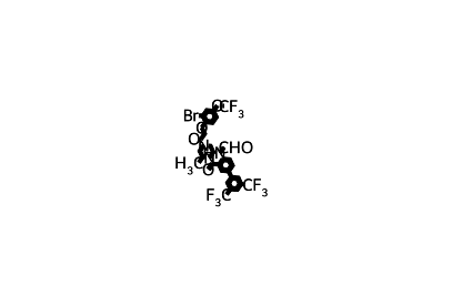 CC1CN(C(=O)COc2ccc(OC(F)(F)F)cc2Br)CCN1C(=O)c1cc(-c2cc(C(F)(F)F)cc(C(F)(F)F)c2)ccc1NC=O